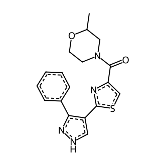 CC1CN(C(=O)c2csc(-c3c[nH]nc3-c3ccccc3)n2)CCO1